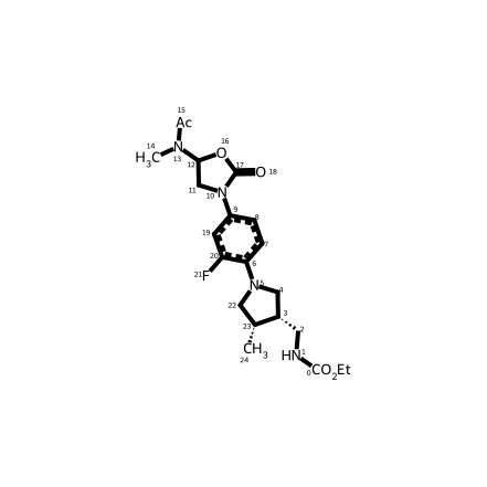 CCOC(=O)NC[C@H]1CN(c2ccc(N3CC(N(C)C(C)=O)OC3=O)cc2F)C[C@H]1C